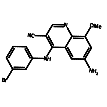 COc1cc(N)cc2c(Nc3cccc(Br)c3)c(C#N)cnc12